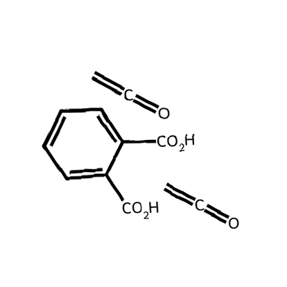 C=C=O.C=C=O.O=C(O)c1ccccc1C(=O)O